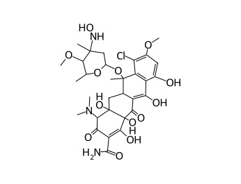 COc1cc(O)c2c(c1Cl)C(C)(OC1CC(C)(NO)C(OC)C(C)O1)C1CC3(O)C(N(C)C)C(=O)C(C(N)=O)=C(O)C3(O)C(=O)C1=C2O